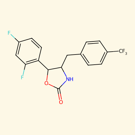 O=C1NC(Cc2ccc(C(F)(F)F)cc2)C(c2ccc(F)cc2F)O1